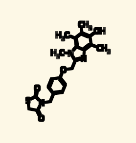 Cc1c(O)c(C)c2nc(COc3ccc(CN4C(=O)CSC4=O)cc3)n(C)c2c1C